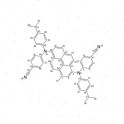 Cc1cc(N(c2ccc(C#N)cc2)c2ccc(C(C)C)cc2)c2ccc3ccc(N(c4ccc(C#N)cc4)c4ccc(C(C)C)cc4)c4ccc1c2c34